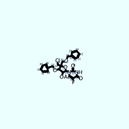 CC(=O)OC1C(n2cc(F)c(=O)[nH]c2=O)OC(CCl)(COCc2ccccc2)C1OCc1ccccc1